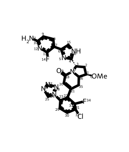 CO[C@@H]1C[C@@H](c2nc(-c3ccc(N)nc3F)c[nH]2)N2C(=O)C=C(c3c(-n4cnnn4)ccc(Cl)c3F)CC12